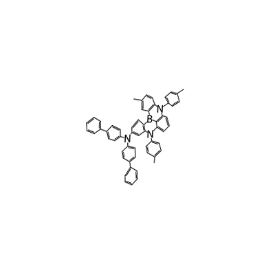 Cc1ccc(N2c3ccc(C)cc3B3c4ccc(N(c5ccc(-c6ccccc6)cc5)c5ccc(-c6ccccc6)cc5)cc4N(c4ccc(C)cc4)c4cccc2c43)cc1